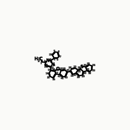 C=Cc1nc(-c2ccccc2)nc(-c2cccc3c2oc2cc(-c4ccc5c(ccc6c7ccccc7sc56)c4)ccc23)n1